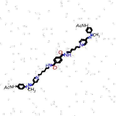 CC(=O)Nc1ccc(N(C)/N=C/c2cc[n+](CCCCCCNC(=O)c3ccc(C(=O)NCCCCCC[n+]4ccc(/C=N/N(C)c5ccc(NC(C)=O)cc5)cc4)cc3)cc2)cc1